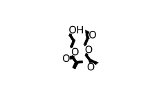 C(OCC1CO1)C1CO1.C=C(C)C(=O)OCCCO